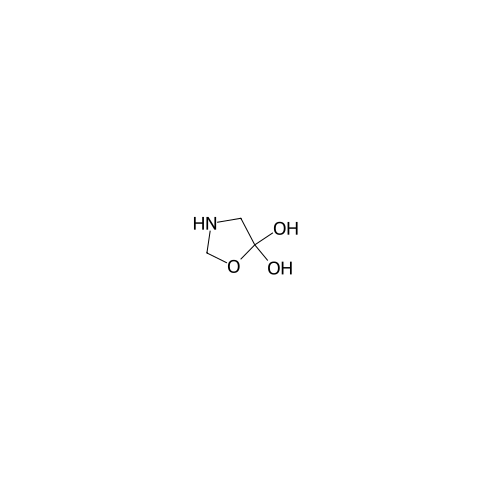 OC1(O)CNCO1